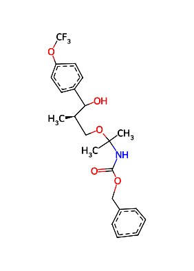 C[C@H](COC(C)(C)NC(=O)OCc1ccccc1)C(O)c1ccc(OC(F)(F)F)cc1